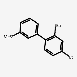 CCc1ccc(-c2cccc(SC)c2)c(C(C)(C)C)c1